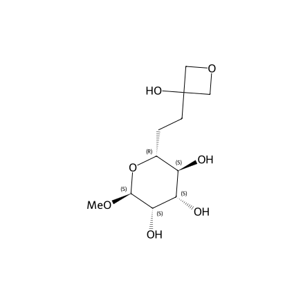 CO[C@H]1O[C@H](CCC2(O)COC2)[C@@H](O)[C@H](O)[C@@H]1O